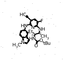 C#Cc1cc(F)c(N[C@H](C)[C@H](CC)NC(=O)OC(C)(C)C)nc1Nc1ccc2c(ccn2C)c1